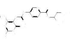 Nc1nc(N)c(NC(=O)Nc2ccc(C(=O)NC(CC(=O)O)C(=O)O)nc2)c(=O)[nH]1